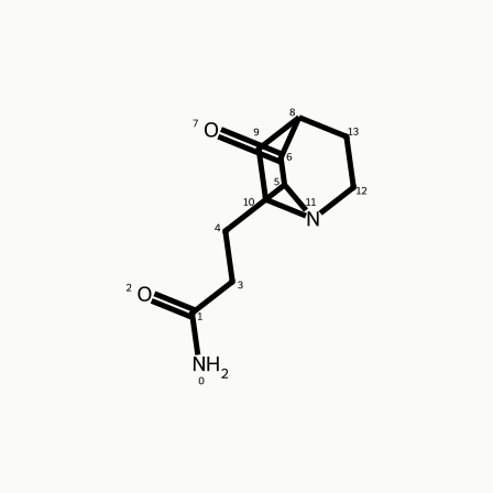 NC(=O)CCC1C(=O)C2CCN1CC2